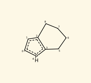 [c]1cc2c([pH]1)CCCC2